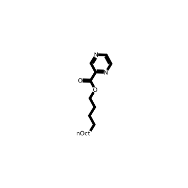 CCCCCCCCCCCCOC(=O)c1cnccn1